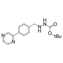 CC(C)(C)OC(=O)NNCc1ccc(-c2cnccn2)cc1